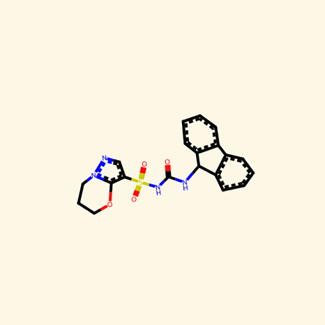 O=C(NC1c2ccccc2-c2ccccc21)NS(=O)(=O)c1cnn2c1OCCC2